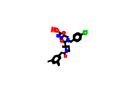 Cc1cc(C)cc(CC(=O)N2CCC2(C)C(=O)N(Cc2ccc(Cl)cc2)Cc2nnc(O)o2)c1